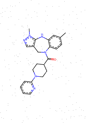 Cc1ccc2c(c1)Nc1c(cnn1C)CN2C(=O)C1CCN(c2ccccn2)CC1